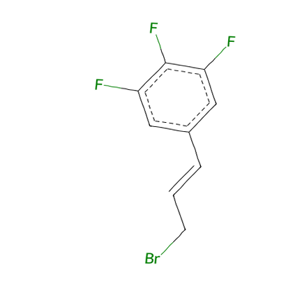 Fc1cc(C=CCBr)cc(F)c1F